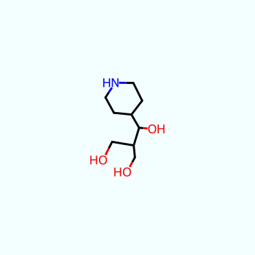 OCC(CO)C(O)C1CCNCC1